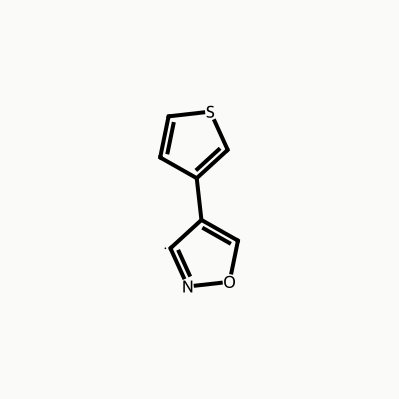 [c]1nocc1-c1ccsc1